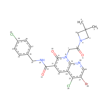 CC1(C)CN(C(=O)Cn2c(=O)c(C(=O)NCc3ccc(Cl)cc3)cc3c(Cl)c(Br)cnc32)C1